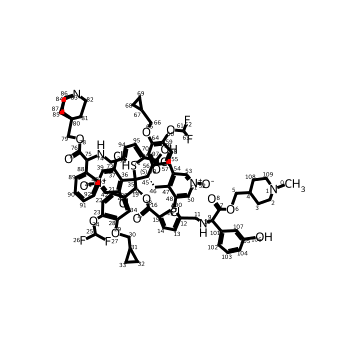 CN1CCC(COC(=O)C(NCc2ccc(C(=O)O[C@@H](c3ccc(OC(F)F)c(OCC4CC4)c3)C(c3c(Cl)c[n+]([O-])cc3Cl)([C@@H](Cc3c(Cl)c[n+]([O-])cc3Cl)c3ccc(OC(F)F)c(OCC4CC4)c3)[SH]3C(CNC(C(=O)OCC45CCN(CC4)CC5)c4ccccc4)=CC=C3C(=O)O)s2)c2cccc(O)c2)CC1